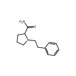 NC(=O)C1CCCN1C[CH]c1ccccc1